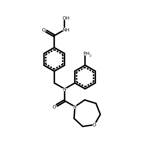 O=C(NO)c1ccc(CN(C(=O)N2CCCOCC2)c2cccc(P)c2)cc1